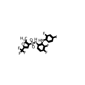 Cc1oc(C(F)(F)F)cc1S(=O)(=O)Nc1ccc(F)c(F)c1Nc1ccc(I)cc1F